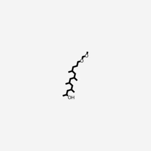 COCOCCCC(C)CC(C)CC(C)CC(C)CC(C)O